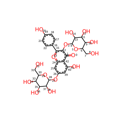 O=c1c(OC2OC(CO)C(O)C(O)C2O)c(-c2ccc(O)cc2)oc2cc(OC3OC(CO)C(O)C(O)C3O)cc(O)c12